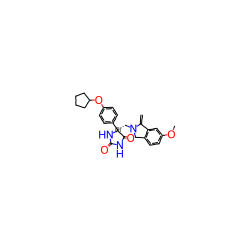 C=C1c2cc(OC)ccc2CN1C[C@@]1(c2ccc(OC3CCCC3)cc2)NC(=O)NC1=O